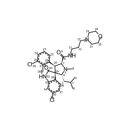 CC(C)C[C@H]1N(C)[C@H](C(=O)NCCCN2CCOCC2)[C@H](c2cccc(Cl)c2F)[C@@]12C(=O)Nc1cc(Cl)ccc12